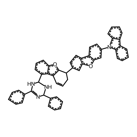 C1=Cc2c(oc3cccc(C4NC(c5ccccc5)=NC(c5ccccc5)N4)c23)C(c2ccc3c(c2)oc2cc(-n4c5ccccc5c5ccccc54)ccc23)C1